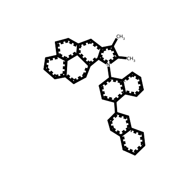 Cc1c(C)n(-c2ccc(-c3ccc4ccccc4c3)c3ccccc23)c2c1cc1ccc3cccc4ccc2c1c34